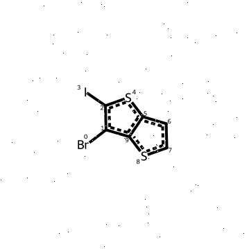 Brc1c(I)sc2ccsc12